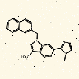 Cn1ccnc1-c1ccc2c(C(=O)O)cn(Cc3ccc4ccccc4c3)c2c1